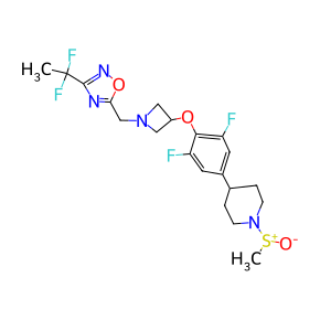 C[S+]([O-])N1CCC(c2cc(F)c(OC3CN(Cc4nc(C(C)(F)F)no4)C3)c(F)c2)CC1